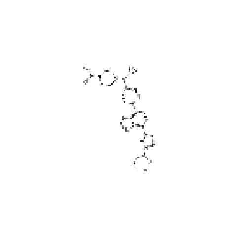 O=C(O)N1CCC(N(c2ccc(-c3ccc(-c4cnn(C5CCCCO5)c4)c4ncsc34)nn2)C2CC2)CC1